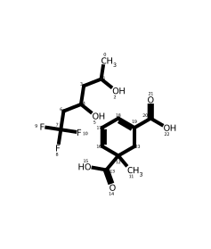 CC(O)CC(O)CC(F)(F)F.CC1(C(=O)O)C=CC=C(C(=O)O)C1